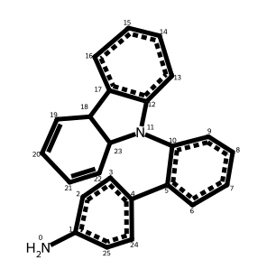 Nc1ccc(-c2ccccc2N2c3ccccc3C3C=CC=CC32)cc1